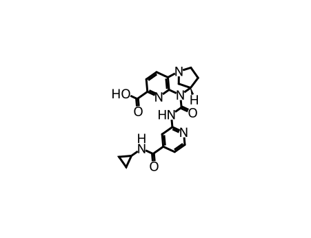 O=C(NC1CC1)c1ccnc(NC(=O)N2c3nc(C(=O)O)ccc3N3CC[C@H]2C3)c1